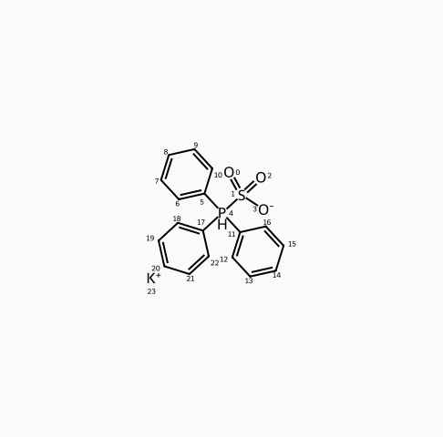 O=S(=O)([O-])[PH](c1ccccc1)(c1ccccc1)c1ccccc1.[K+]